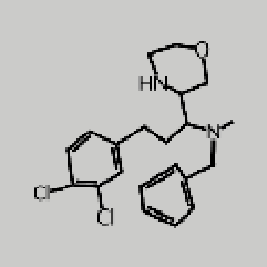 CN(Cc1ccccc1)C(CCc1ccc(Cl)c(Cl)c1)C1COCCN1